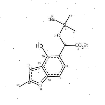 CCOC(=O)C(O[Si](C)(C)C(C)(C)C)c1ccc2oc(C)nc2c1O